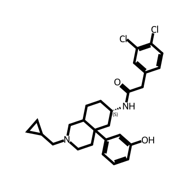 O=C(Cc1ccc(Cl)c(Cl)c1)N[C@H]1CCC2CN(CC3CC3)CCC2(c2cccc(O)c2)C1